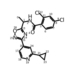 CC(NC(=O)c1ccc(Cl)cc1Cl)c1nc(-c2ccnc(C3CC3)c2)no1